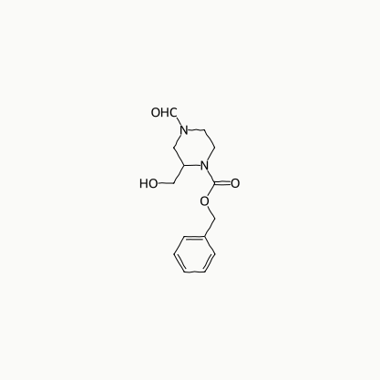 O=CN1CCN(C(=O)OCc2ccccc2)C(CO)C1